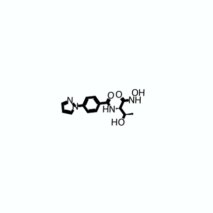 C[C@@H](O)[C@H](NC(=O)c1ccc(-n2cccn2)cc1)C(=O)NO